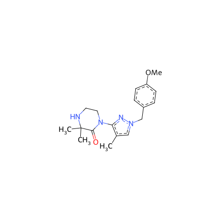 COc1ccc(Cn2cc(C)c(N3CCNC(C)(C)C3=O)n2)cc1